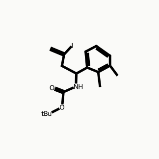 C=C(I)CC(NC(=O)OC(C)(C)C)c1cccc(C)c1C